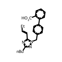 CCC=Cc1nc(CCCC)nn1Cc1ccc(-c2ccccc2C(=O)O)cc1